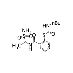 CCCCNC(=O)Sc1ccccc1C(=O)NC(C)S(N)(=O)=O